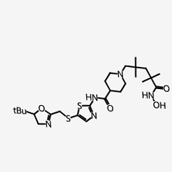 CC(C)(CN1CCC(C(=O)Nc2ncc(SCC3=NCC(C(C)(C)C)O3)s2)CC1)CC(C)(C)C(=O)NO